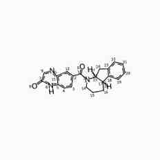 O=C(c1ccc2[nH]c(=O)cnc2c1)N1CCC[C@H]2c3ccccc3C[C@H]21